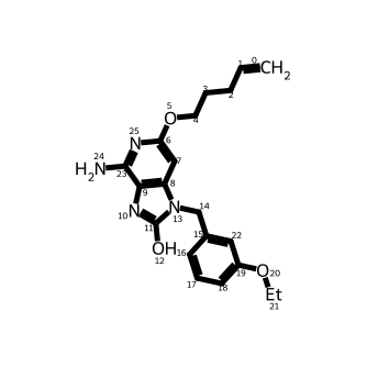 C=CCCCOc1cc2c(nc(O)n2Cc2cccc(OCC)c2)c(N)n1